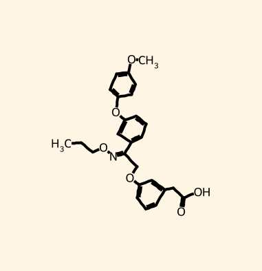 CCCON=C(COc1cccc(CC(=O)O)c1)c1cccc(Oc2ccc(OC)cc2)c1